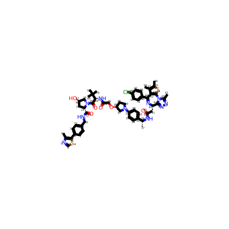 Cc1ncsc1-c1ccc(CNC(=O)[C@@H]2C[C@@H](O)CN2C(=O)[C@@H](NC(=O)CO[C@H]2CCN(c3ccc([C@@H](C)NC(=O)C[C@@H]4N=C(c5ccc(Cl)cc5)c5c(sc(C)c5C)-n5c(C)nnc54)cc3)C2)C(C)(C)C)cc1